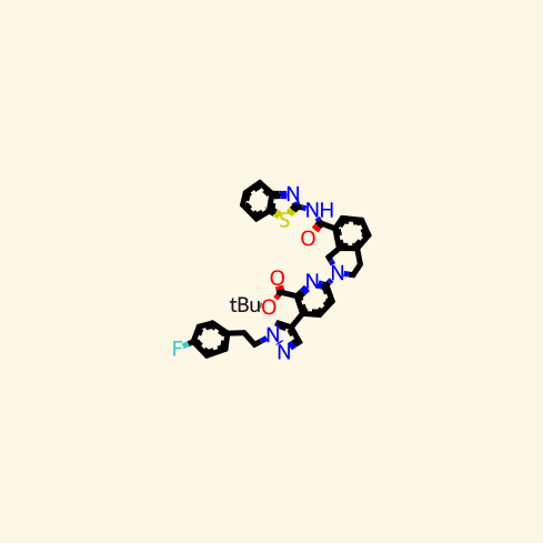 CC(C)(C)OC(=O)c1nc(N2CCc3cccc(C(=O)Nc4nc5ccccc5s4)c3C2)ccc1-c1cnn(CCc2ccc(F)cc2)c1